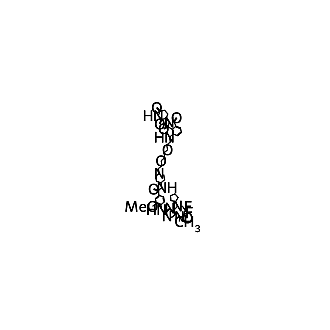 COc1cc(C(=O)NC2CCN(CCOCCOCCNc3cccc4c3C(=O)N(C3CCC(=O)NC3=O)C4=O)CC2)ccc1Nc1ncc2c(n1)N(C1CCCC1)CC(F)(F)C(=O)N2C